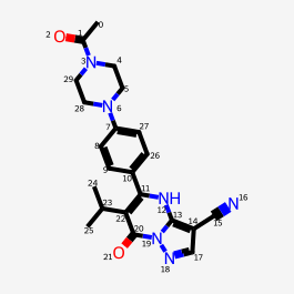 CC(=O)N1CCN(c2ccc(-c3[nH]c4c(C#N)cnn4c(=O)c3C(C)C)cc2)CC1